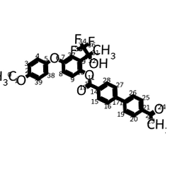 COc1ccc(Oc2ccc(OC(=O)c3ccc(-c4ccc(C(C)=O)cc4)cc3)c(C(C)(O)C(F)(F)F)c2)cc1